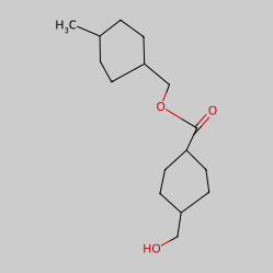 CC1CCC(COC(=O)C2CCC(CO)CC2)CC1